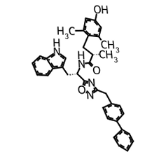 Cc1cc(O)cc(C)c1C[C@H](C)C(=O)N[C@@H](Cc1c[nH]c2ccccc12)c1nc(Cc2ccc(-c3ccccc3)cc2)no1